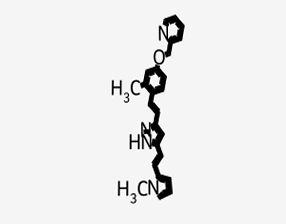 Cc1cc(OCc2ccccn2)ccc1C=Cc1cc(C=Cc2cccn2C)[nH]n1